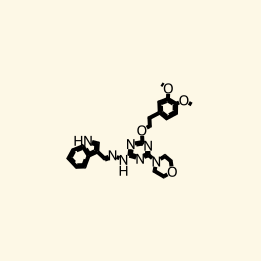 COc1ccc(CCOc2nc(NN=Cc3c[nH]c4ccccc34)nc(N3CCOCC3)n2)cc1OC